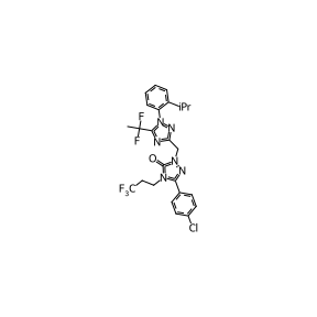 CC(C)c1ccccc1-n1nc(Cn2nc(-c3ccc(Cl)cc3)n(CCC(F)(F)F)c2=O)nc1C(C)(F)F